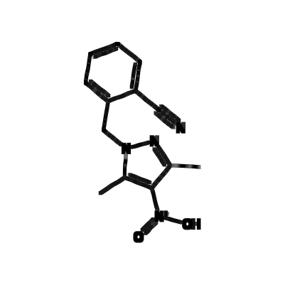 Cc1nn(Cc2ccccc2C#N)c(C)c1[N+](=O)O